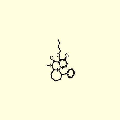 CCCCOc1c2n(ccc1=O)N1C(c3ccccc3)CCCCC1N(C)C2=O